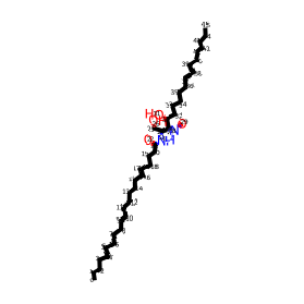 CCCCCCCCCCCCCCCCCCCCCC(=O)NC(CO)C(N=O)C(O)CCCCCCCCCCCCCC